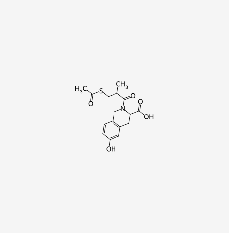 CC(=O)SCC(C)C(=O)N1Cc2ccc(O)cc2CC1C(=O)O